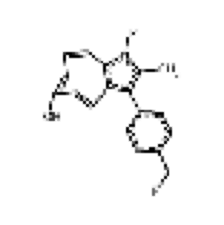 Cc1c(-c2ccc(CF)cc2)c2c(n1C(C)C)\C=C/C=C(O)/C=C/2